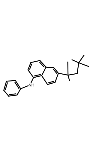 CC(C)(C)CC(C)(C)c1ccc2c(Nc3ccccc3)cccc2c1